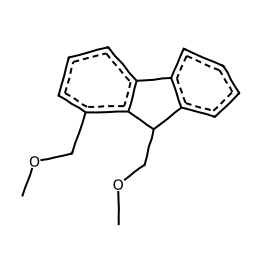 COCc1cccc2c1C(COC)c1ccccc1-2